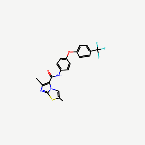 Cc1cn2c(C(=O)Nc3ccc(Oc4ccc(C(F)(F)F)cc4)cc3)c(C)nc2s1